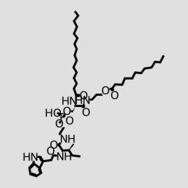 CCCCCCCCCCCCCCCC(=O)N[C@@H](COP(=O)(O)OCCNC(=O)[C@@H](NC(=O)Cc1c[nH]c2ccccc12)[C@@H](C)CC)C(=O)NCCCOC(=O)CCCCCCCCCCC